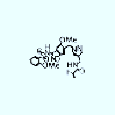 C=C(F)C(=O)NCc1cnn(Cc2cc3onc(NS(=O)(=O)c4ccccc4OC)c3cc2OC)c1